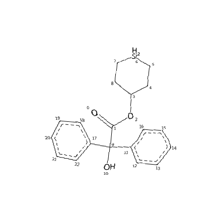 O=C(OC1CC[SiH2]CC1)C(O)(c1ccccc1)c1ccccc1